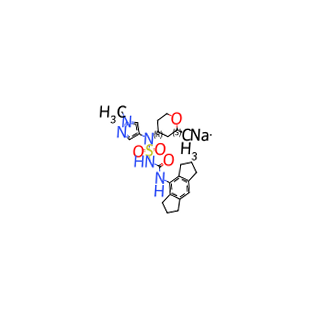 C[C@H]1C[C@H](N(c2cnn(C)c2)S(=O)(=O)NC(=O)Nc2c3c(cc4c2CCC4)CCC3)CCO1.[Na]